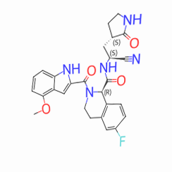 COc1cccc2[nH]c(C(=O)N3CCc4cc(F)ccc4[C@@H]3C(=O)N[C@H](C#N)C[C@@H]3CCNC3=O)cc12